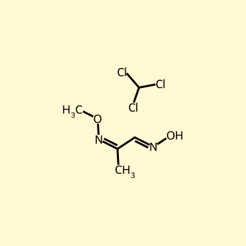 CON=C(C)C=NO.ClC(Cl)Cl